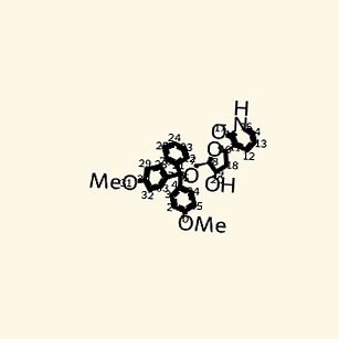 COc1ccc(C(OC[C@H]2O[C@@H](c3ccc[nH]c3=O)C[C@H]2O)(c2ccccc2)c2ccc(OC)cc2)cc1